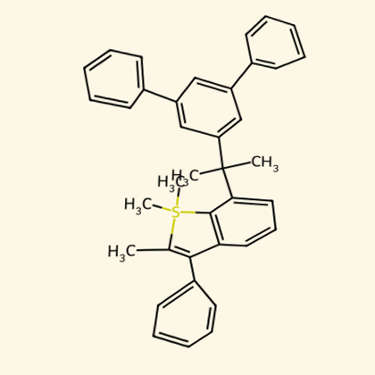 CC1=C(c2ccccc2)c2cccc(C(C)(C)c3cc(-c4ccccc4)cc(-c4ccccc4)c3)c2S1(C)C